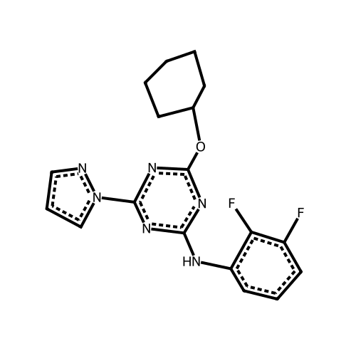 Fc1cccc(Nc2nc(OC3CCCCC3)nc(-n3cccn3)n2)c1F